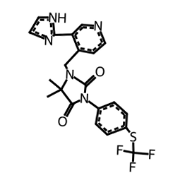 CC1(C)C(=O)N(c2ccc(SC(F)(F)F)cc2)C(=O)N1Cc1ccncc1-c1ncc[nH]1